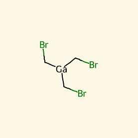 Br[CH2][Ga]([CH2]Br)[CH2]Br